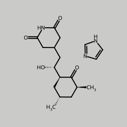 C[C@@H]1C[C@@H]([C@H](O)CC2CC(=O)NC(=O)C2)C(=O)[C@@H](C)C1.c1c[nH]cn1